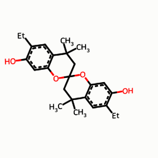 CCc1cc2c(cc1O)OC1(CC2(C)C)CC(C)(C)c2cc(CC)c(O)cc2O1